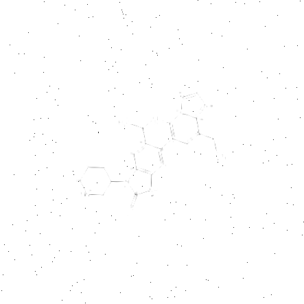 COc1cc(-c2cc3[nH]c(=O)n(C4CCCNC4)c3cc2C(C)C)cn2ncnc12